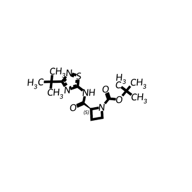 CC(C)(C)OC(=O)N1CC[C@H]1C(=O)Nc1nc(C(C)(C)C)ns1